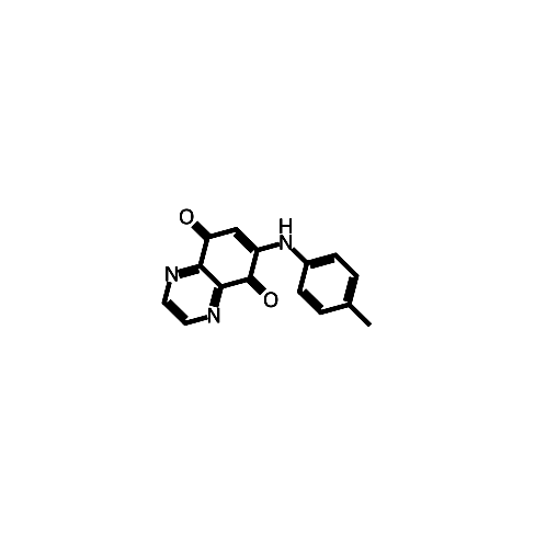 Cc1ccc(NC2=CC(=O)c3nccnc3C2=O)cc1